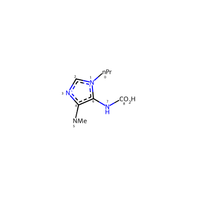 CCCn1cnc(NC)c1NC(=O)O